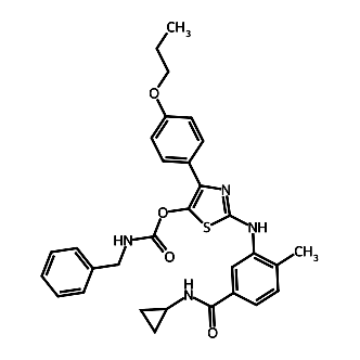 CCCOc1ccc(-c2nc(Nc3cc(C(=O)NC4CC4)ccc3C)sc2OC(=O)NCc2ccccc2)cc1